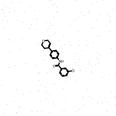 O=C(Nc1ccc(C2=CCOCC2)cc1)c1cccc(Cl)c1